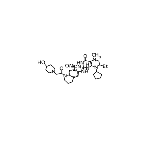 CCC1CN(C)C2=C(N[C@@](N)(Nc3cc4c(cc3OC)N(C(=O)CN3CCC(O)CC3)CCC4)NC2=O)N1C1CCCC1